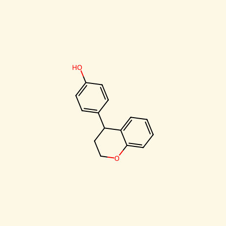 Oc1ccc(C2CCOc3ccccc32)cc1